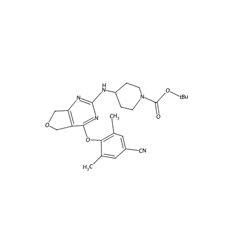 Cc1cc(C#N)cc(C)c1Oc1nc(NC2CCN(C(=O)OC(C)(C)C)CC2)nc2c1COC2